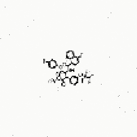 CCCOC(=O)C(c1cccc(OC(F)(F)C(F)F)c1)C(NC(=O)c1ccc(F)c2ccccc12)C(=O)Oc1ccc(F)cc1